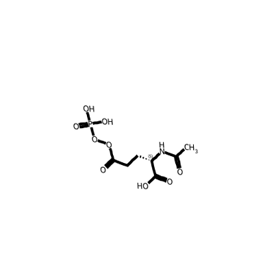 CC(=O)N[C@@H](CCC(=O)OOP(=O)(O)O)C(=O)O